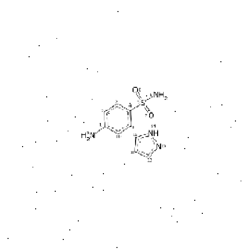 Nc1ccc(S(N)(=O)=O)cc1.c1cn[nH]c1